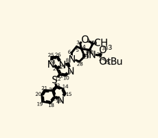 C[C@@H]1OCC2(CCN(c3ncc(Sc4ccnc5ccccc45)c4nccn34)CC2)[C@@H]1NC(=O)OC(C)(C)C